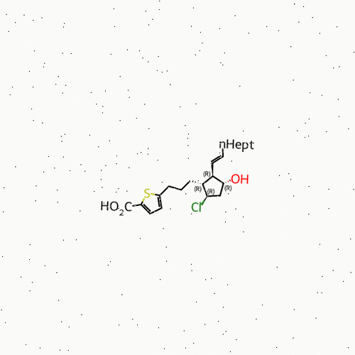 CCCCCCCC=C[C@@H]1[C@@H](CCCc2ccc(C(=O)O)s2)[C@H](Cl)C[C@H]1O